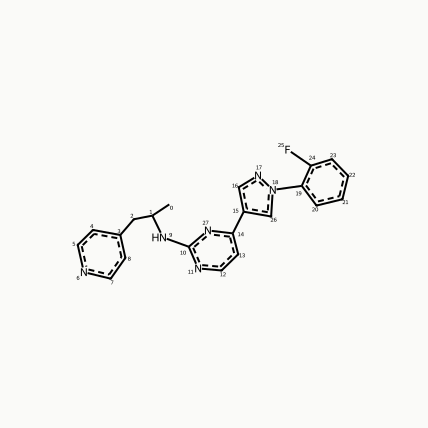 CC(Cc1ccncc1)Nc1nccc(-c2cnn(-c3ccccc3F)c2)n1